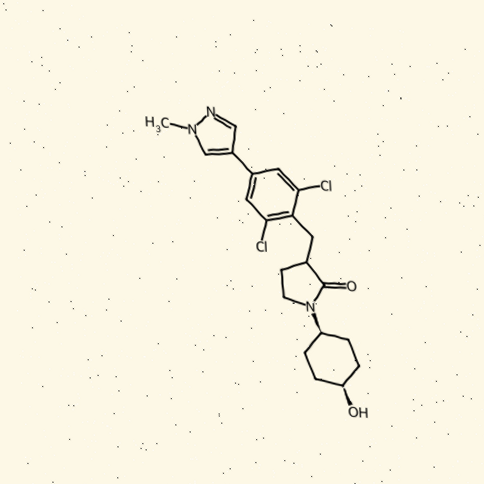 Cn1cc(-c2cc(Cl)c(CC3CCN([C@H]4CC[C@@H](O)CC4)C3=O)c(Cl)c2)cn1